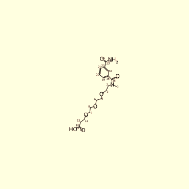 CN(CCOCCOCCOCCC(=O)O)C(=O)c1cccc(C(N)=O)c1